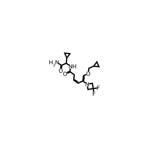 NC(=O)C(NC(=O)C/C=C\C(=C\OCC1CC1)N1CC(F)(F)C1)C1CC1